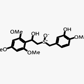 COc1cc(OC)c(C(O)C[S+]([O-])Cc2ccc(OC)c(O)c2)c(OC)c1